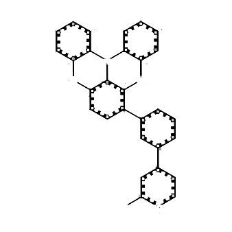 Cc1cc(-c2cccc(-c3ccc4c5c3Oc3ccccc3B5c3ccccc3O4)c2)ccn1